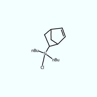 CCCC[Si](Cl)(CCCC)C1CC2C=CC1C2